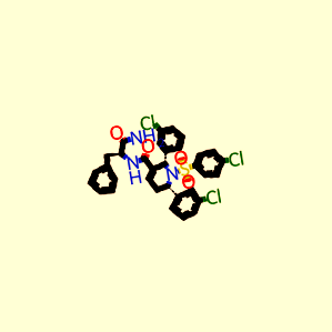 NC(=O)[C@H](Cc1ccccc1)NC(=O)C1=CC[C@@H](c2cccc(Cl)c2)N(S(=O)(=O)c2ccc(Cl)cc2)[C@H]1c1cccc(Cl)c1